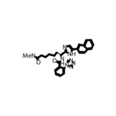 CNC(=O)CCCCC[C@H](NC(=O)c1ccccc1-n1cnnn1)c1ncc(-c2ccc3ccccc3c2)[nH]1